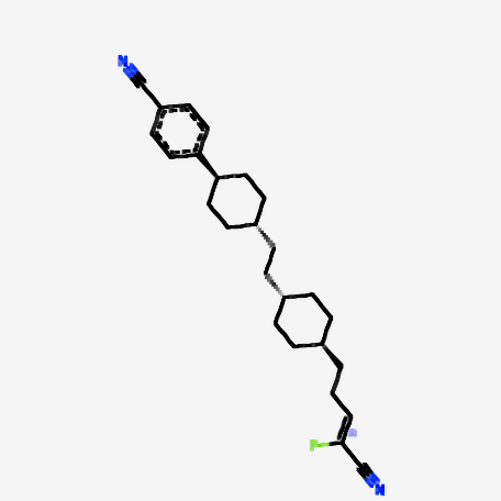 N#C/C(F)=C/CC[C@H]1CC[C@H](CC[C@H]2CC[C@H](c3ccc(C#N)cc3)CC2)CC1